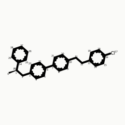 C[C@H](Cc1ccc(-c2ccc(CCc3ccc(Cl)cc3)cc2)cc1)c1ccccc1